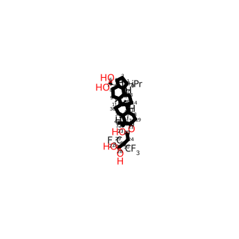 CC(C)[C@H]1CC[C@]2(C(O)O)CC[C@@]3(C)[C@@H](CC[C@@H]4[C@@]5(C)CC[C@H](O[C@H](O)CC(C(O)O)(C(F)(F)F)C(F)(F)F)C(C)(C)[C@@H]5CC[C@@]43C)[C@@H]12